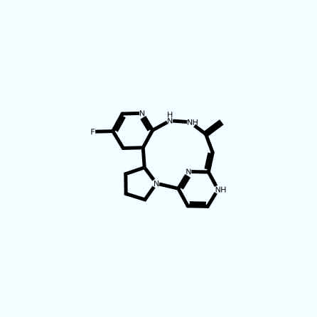 C=C1/C=C2\N=C(C=CN2)N2CCCC2C2CC(F)=CN=C2NN1